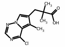 Cc1c(CC(C)(C)C(=O)O)cn2ncnc(Cl)c12